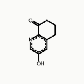 O=C1CCCc2cc(O)cnc21